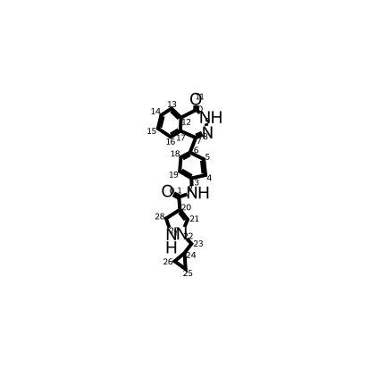 O=C(Nc1ccc(-c2n[nH]c(=O)c3ccccc23)cc1)C1=CN(CC2CC2)NC1